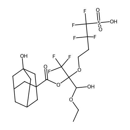 CCOC(O)C(OCCC(F)(F)C(F)(F)S(=O)(=O)O)(OC(=O)C12CC3CC(CC(O)(C3)C1)C2)C(F)(F)F